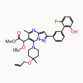 C=CCOC1(C)CCN(c2c(C(OC(C)(C)C)C(=O)OC)c(C)nc3cc(-c4cccc(-c5c(O)cccc5F)c4)nn23)CC1